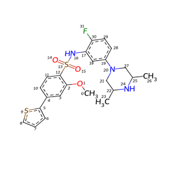 COc1cc(-c2cccs2)ccc1S(=O)(=O)Nc1cc(N2CC(C)NC(C)C2)ccc1F